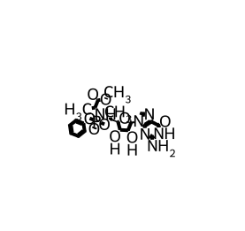 COC(=O)C(C)NP(=O)(Oc1ccccc1)OC(C)[C@H]1O[C@@H](n2cnc3c(=O)[nH]c(N)nc32)C(O)C1O